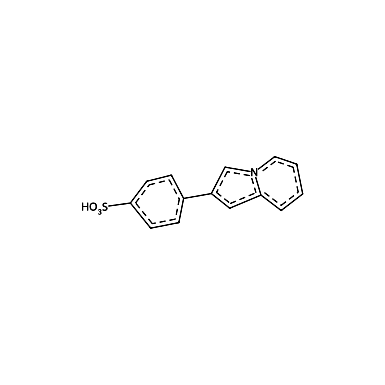 O=S(=O)(O)c1ccc(-c2cc3ccccn3c2)cc1